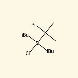 CCC(C)[Si](Cl)(C(C)CC)C(C)(C)C(C)C